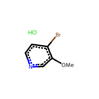 COc1cnccc1Br.Cl